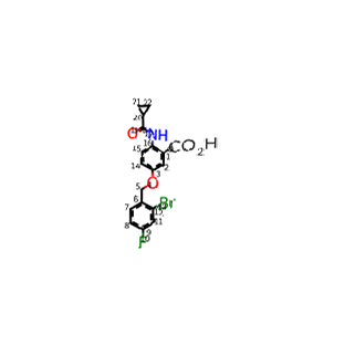 O=C(O)c1cc(OCc2ccc(F)cc2Br)ccc1NC(=O)C1CC1